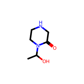 CC(O)N1CCNCC1=O